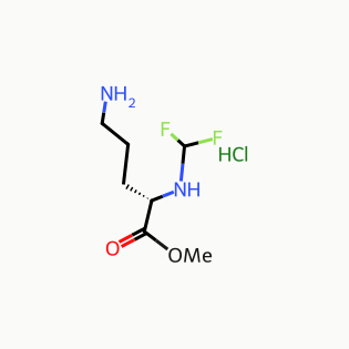 COC(=O)[C@H](CCCN)NC(F)F.Cl